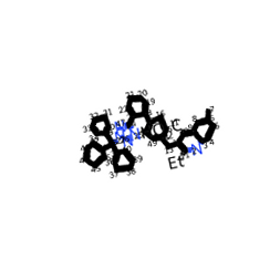 CCc1nc2ccc(C)cc2c(C(=O)O)c1Cc1ccc(-c2ccccc2-c2nnn(C(c3ccccc3)(c3ccccc3)c3ccccc3)n2)cc1